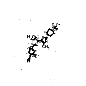 Cc1nc([C@H]2CC[C@H](C(F)(F)F)CC2)sc1C(OCc1ccc(C#N)c(Br)c1)C(C)(F)F